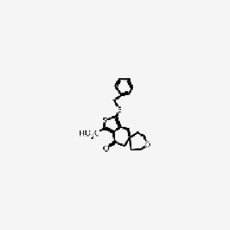 O=C(O)c1sc(SCc2ccccc2)c2c1C(=O)CC1(CCOCC1)C2